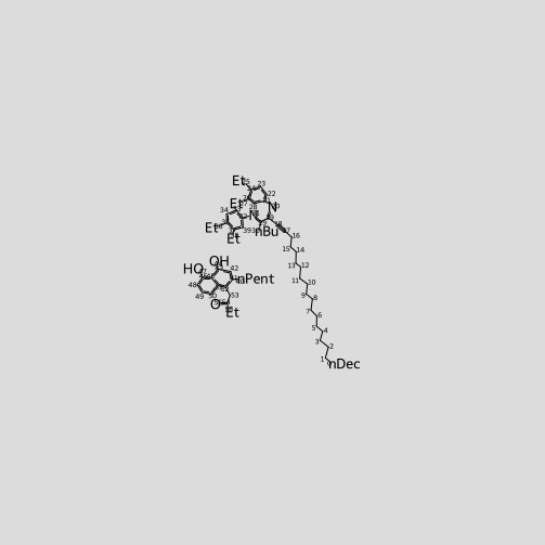 CCCCCCCCCCCCCCCCCCCCCCCCCCC#CC(=Nc1ccc(CC)c(CC)c1)C(CCCC)=Nc1ccc(CC)c(CC)c1.CCCCCc1cc(O)c2c(O)cccc2c1CC(=O)CC